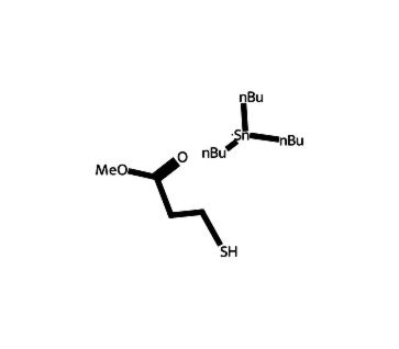 CCC[CH2][Sn]([CH2]CCC)[CH2]CCC.COC(=O)CCS